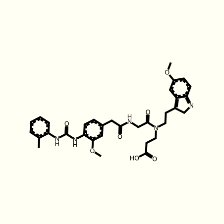 COc1ccc2c(c1)=C(CCN(CCC(=O)O)C(=O)CNC(=O)Cc1ccc(NC(=O)Nc3ccccc3C)c(OC)c1)CN=2